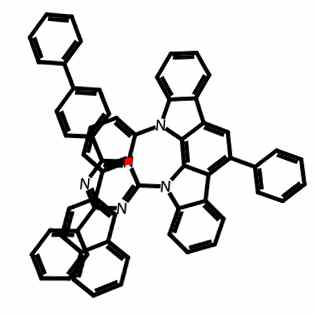 c1ccc(-c2ccc(-c3nc(-c4ccccc4)nc(-n4c5ccccc5c5c(-c6ccccc6)cc6c7ccccc7n(-c7cccc(-c8ccc9ccccc9c8)c7)c6c54)n3)cc2)cc1